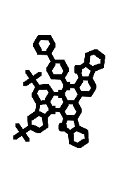 CC(C)(C)c1ccc2c(c1)c1cc(C(C)(C)C)cc3c1n2-c1c2c(cc4c1oc1ccccc14)-c1ccc4c(oc5ccccc54)c1N(c1ccc(-c4ccccc4)cc1)B23